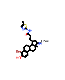 CO/N=C1\CC(CCC(=O)Nc2ncc(C)s2)C2C3CCc4c(ccc(O)c4Br)C3CCC12C